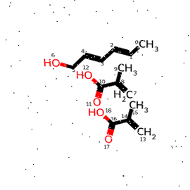 C/C=C/C=C/CO.C=C(C)C(=O)O.C=C(C)C(=O)O